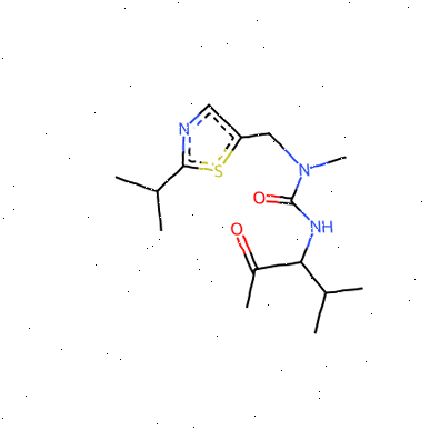 CC(=O)C(NC(=O)N(C)Cc1cnc(C(C)C)s1)C(C)C